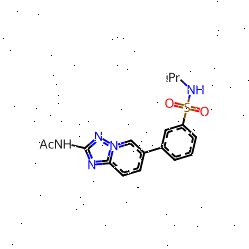 CC(=O)Nc1nc2ccc(-c3cccc(S(=O)(=O)NC(C)C)c3)cn2n1